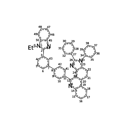 CCn1c(-c2cccc(-c3ccc(-c4nc5ccccc5c5ccc6c(nc(-c7ccccc7)n6-c6ccccc6)c45)cc3)c2)nc2ccccc21